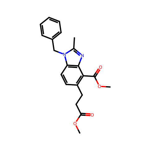 COC(=O)CCc1ccc2c(nc(C)n2Cc2ccccc2)c1C(=O)OC